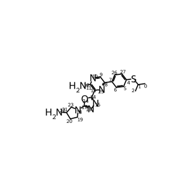 CC(C)Sc1ccc(-c2cnc(N)c(-c3nnc(N4CCC(N)C4)o3)n2)cc1